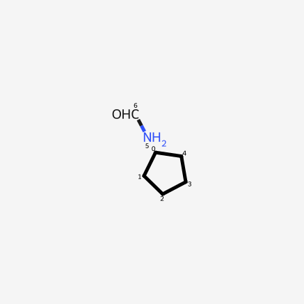 C1CCCC1.NC=O